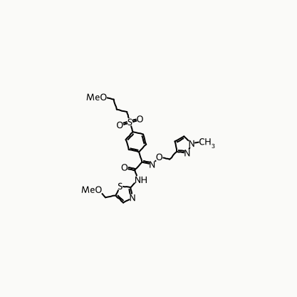 COCCCS(=O)(=O)c1ccc(/C(=N\OCc2ccn(C)n2)C(=O)Nc2ncc(COC)s2)cc1